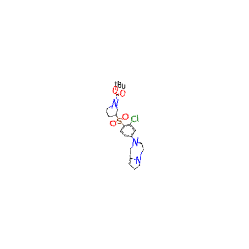 CC(C)(C)OC(=O)N1CCC(S(=O)(=O)c2ccc(N3CCN4CCC=C4C3)cc2Cl)C1